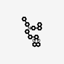 c1ccc(-c2ccc(N(c3ccc(-c4cccc5ccccc45)cc3)c3cccc(-c4cccc(-c5cccc6c5Oc5cccc7cccc(c57)O6)c4)c3)cc2)cc1